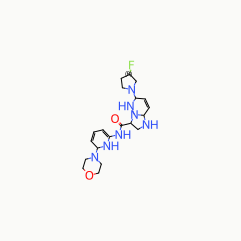 O=C(NC1=CC=CC(N2CCOCC2)N1)C1CNC2C=CC(N3CC[C@@H](F)C3)NN21